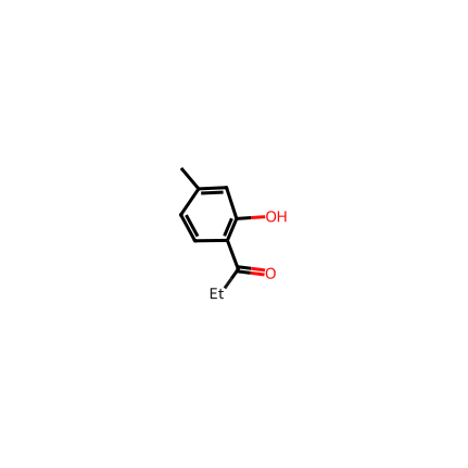 CCC(=O)c1ccc(C)cc1O